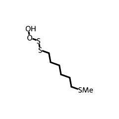 CSCCCCCCSSOO